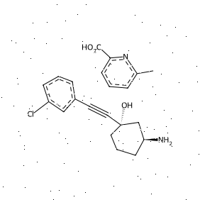 Cc1cccc(C(=O)O)n1.N[C@H]1CCC[C@@](O)(C#Cc2cccc(Cl)c2)C1